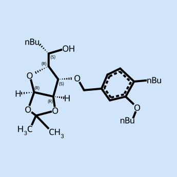 CCCCOc1cc(CO[C@@H]2[C@H]3OC(C)(C)O[C@H]3O[C@@H]2[C@@H](O)CCCC)ccc1CCCC